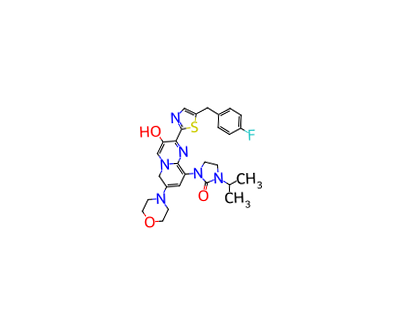 CC(C)N1CCN(C2=C3N=C(c4ncc(Cc5ccc(F)cc5)s4)C(O)=CN3CC(N3CCOCC3)=C2)C1=O